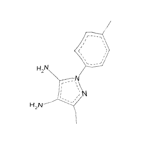 Cc1ccc(-n2nc(C)c(N)c2N)cc1